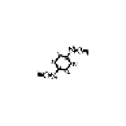 C=C=NC1CCC(N=C=C)CC1